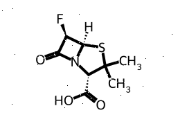 CC1(C)S[C@@H]2[C@H](F)C(=O)N2[C@H]1C(=O)O